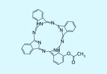 CC(=O)Oc1cccc2c3nc4nc(nc5[nH]c(nc6nc(nc([nH]3)c12)-c1ccccc1-6)c1ccccc51)-c1ccccc1-4